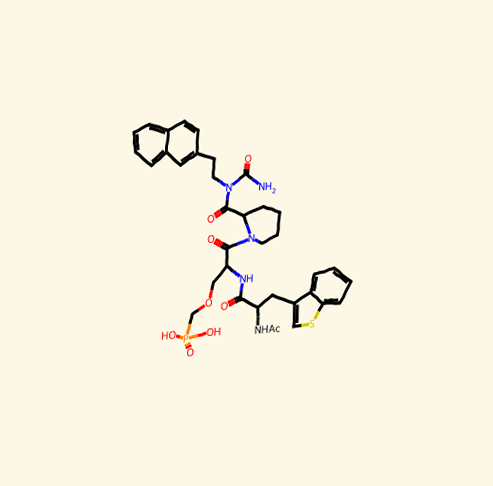 CC(=O)NC(Cc1csc2ccccc12)C(=O)NC(COCP(=O)(O)O)C(=O)N1CCCCC1C(=O)N(CCc1ccc2ccccc2c1)C(N)=O